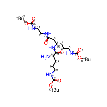 CC(C)(C)OC(=O)NCCC[C@@H](CC(=O)NCCNC(=O)OC(C)(C)C)NC(=O)[C@@H](N)CCCNC(=O)OC(C)(C)C